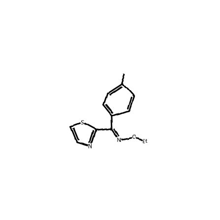 CCO/N=C(\c1ccc(C)cc1)c1nccs1